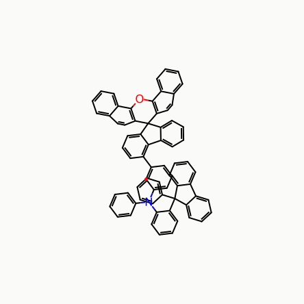 c1ccc(N(c2cccc(-c3cccc4c3-c3ccccc3C43c4ccc5ccccc5c4Oc4c3ccc3ccccc43)c2)c2ccccc2C2(c3ccccc3)c3ccccc3-c3ccccc32)cc1